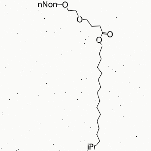 CCCCCCCCCOCCOCCCC(=O)OCCCCCCCCCCCCCCCC(C)C